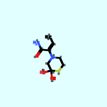 CC=C(C(N)=O)N1CCSC(O)(O)C1